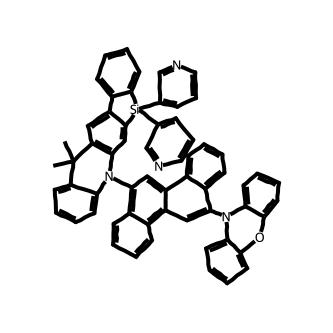 CC1(C)c2ccccc2N(c2cc3c4ccccc4c(N4c5ccccc5Oc5ccccc54)cc3c3ccccc23)c2cc3c(cc21)-c1ccccc1[Si]3(c1cccnc1)c1cccnc1